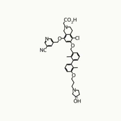 Cc1c(COc2cc(OCc3cncc(C#N)c3)c3c(c2Cl)CCN(CC(=O)O)C3)cccc1-c1cccc(OCCCN2CC[C@H](O)C2)c1C